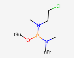 CCCN(C)P(OC(C)(C)C)N(C)CCCl